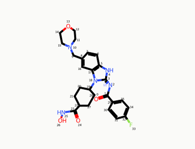 O=C(/N=c1/[nH]c2ccc(CN3CCOCC3)cc2n1C1CCC(C(=O)NO)CC1)c1ccc(F)cc1